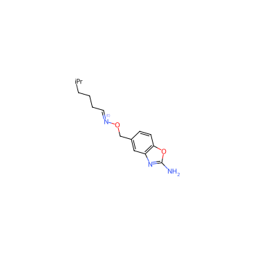 CC(C)CCC/C=N/OCc1ccc2oc(N)nc2c1